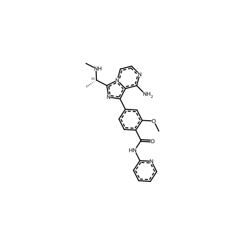 CN[C@@H](C)c1nc(-c2ccc(C(=O)Nc3ccccn3)c(OC)c2)c2c(N)nccn12